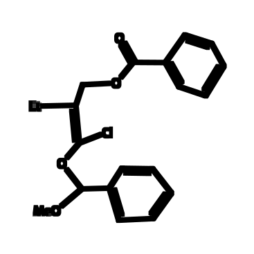 CCC(COC(=O)c1ccccc1)=C(Cl)OC(OC)c1ccccc1